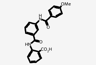 COc1ccc(C(=O)Nc2cccc(C(=O)Nc3ccccc3C(=O)O)c2)cc1